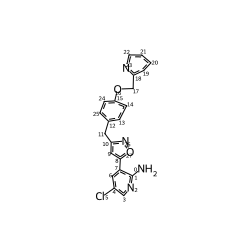 Nc1ncc(Cl)cc1-c1cc(Cc2ccc(OCc3ccccn3)cc2)no1